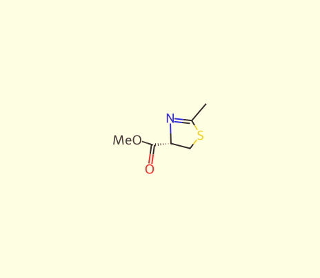 COC(=O)[C@H]1CSC(C)=N1